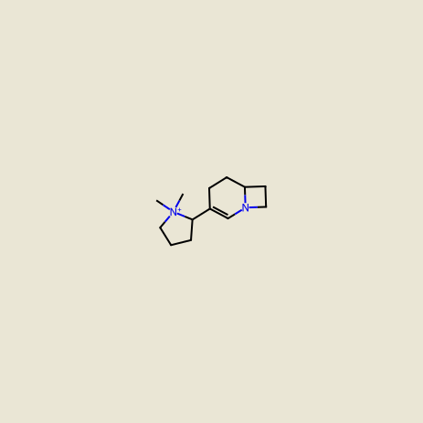 C[N+]1(C)CCCC1C1=CN2CCC2CC1